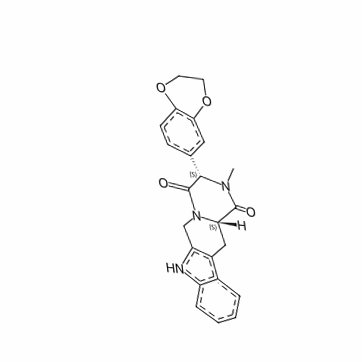 CN1C(=O)[C@@H]2Cc3c([nH]c4ccccc34)CN2C(=O)[C@@H]1c1ccc2c(c1)OCCO2